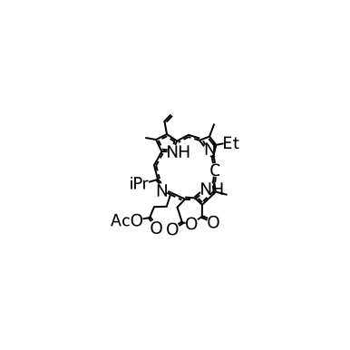 C=Cc1c(C)c2cc(C(C)C)nc(CCC(=O)OC(C)=O)c3c4[nH]c(cc5nc(cc1[nH]2)C(C)=C5CC)c(C)c4C(=O)OC(=O)C3